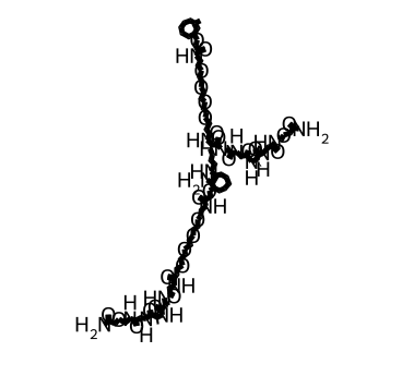 C/C1=C/C(OCC(=O)NCCOCCOCCOCCOCCC(=O)N[C@H](CCCCN/C2=C(\N)C(OCC(=O)NCCOCCOCCOCCOCCC(=O)NCC(=O)NCC(=O)N[C@@H](C)C(=O)NCC(=O)NCOCC(N)=O)CCCCC2)C(=O)NCC(=O)NCC(=O)N[C@@H](C)C(=O)NCC(=O)NCOCC(N)=O)CCCCC1